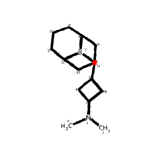 CN(C)C1CC(CB2C3CCCC2CCC3)C1